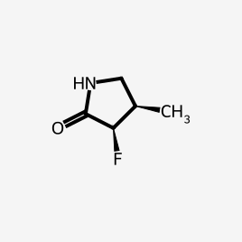 C[C@@H]1CNC(=O)[C@@H]1F